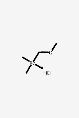 CO[CH2][Re]([CH3])([CH3])[CH3].Cl